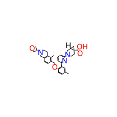 Cc1ccc(OCc2ccc3c(c2C)CCN(C2COC2)C3)c(-c2cccc(N3CC[C@@]4(C(=O)O)C[C@H]4C3)n2)c1